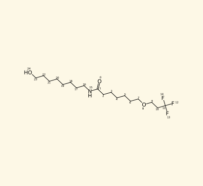 O=C(CCCCCCOCCC(F)(F)F)NCCCCCCCCO